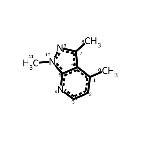 Cc1c[c]nc2c1c(C)nn2C